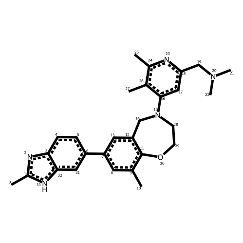 Cc1nc2ccc(-c3cc(C)c4c(c3)CN(c3cc(CN(C)C)nc(C)c3C)CCO4)cc2[nH]1